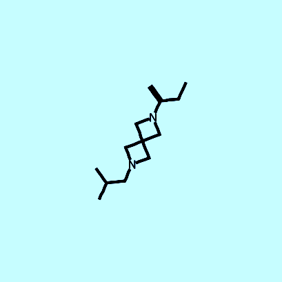 C=C(CC)N1CC2(CN(CC(C)C)C2)C1